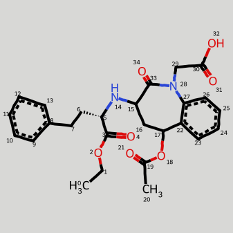 CCOC(=O)[C@H](CCc1ccccc1)NC1CC(OC(C)=O)c2ccccc2N(CC(=O)O)C1=O